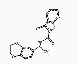 CC(NC(=O)n1sc2ncccc2c1=O)c1ccc2c(c1)OCCO2